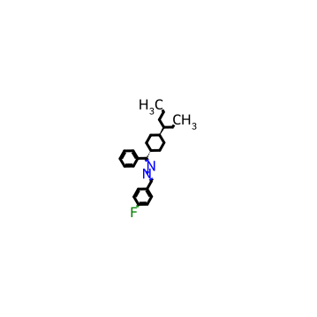 CCCC(CC)[C@H]1CC[C@H](C(=NN=Cc2ccc(F)cc2)c2ccccc2)CC1